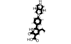 CCc1cc(C(=O)O)c(=O)[nH]c1-c1ccc(N2C[C@H]3CNC[C@H]3C2)cc1